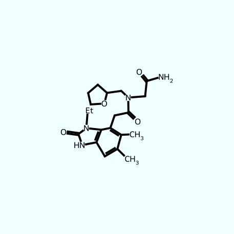 CCn1c(=O)[nH]c2cc(C)c(C)c(CC(=O)N(CC(N)=O)CC3CCCO3)c21